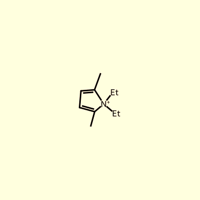 CC[N+]1(CC)C(C)=CC=C1C